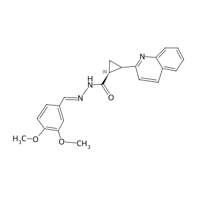 COc1ccc(C=NNC(=O)[C@H]2CC2c2ccc3ccccc3n2)cc1OC